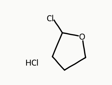 Cl.ClC1CCCO1